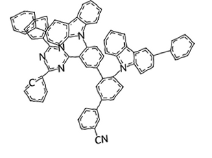 N#Cc1cccc(-c2ccc(-n3c4ccccc4c4cc(-c5ccccc5)ccc43)c(-c3ccc(-n4c5ccccc5c5cc(-c6ccccc6)ccc54)c(-c4nc(-c5ccccc5)nc(-c5ccccc5)n4)c3)c2)c1